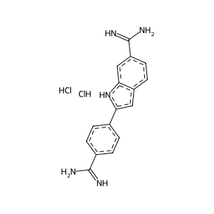 Cl.Cl.N=C(N)c1ccc(-c2cc3ccc(C(=N)N)cc3[nH]2)cc1